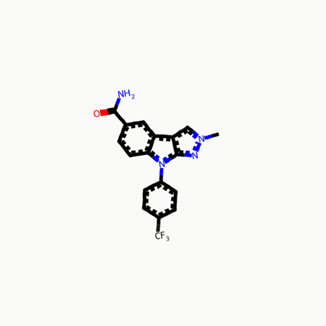 Cn1cc2c3cc(C(N)=O)ccc3n(-c3ccc(C(F)(F)F)cc3)c2n1